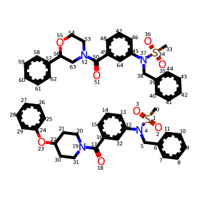 CS(=O)(=O)N(Cc1ccccc1)c1cccc(C(=O)N2CCC(Oc3ccccc3)CC2)c1.CS(=O)(=O)N(Cc1ccccc1)c1cccc(C(=O)N2CCOC(c3ccccc3)C2)c1